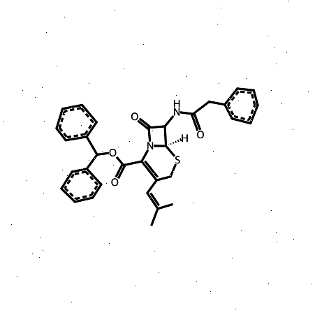 CC(C)=CC1=C(C(=O)OC(c2ccccc2)c2ccccc2)N2C(=O)C(NC(=O)Cc3ccccc3)[C@H]2SC1